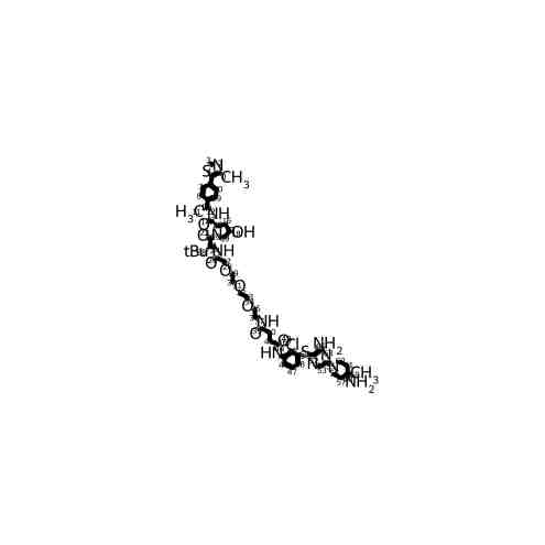 Cc1ncsc1-c1ccc([C@@H](C)NC(=O)[C@H]2C[C@H](O)CN2C(=O)[C@H](NC(=O)COCCOCCOCCNC(=O)CCC(=O)Nc2cccc(Sc3ncc(N4CCC(C)(N)CC4)nc3N)c2Cl)C(C)(C)C)cc1